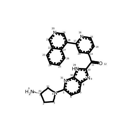 N[C@H]1CCN(c2ccc3nc(C(=O)c4ccnc(-c5cncc6ccccc56)c4)[nH]c3n2)C1